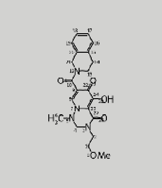 COCCN1CN(C)n2cc(C(=O)N3CCc4ccccc4C3)c(=O)c(O)c2C1=O